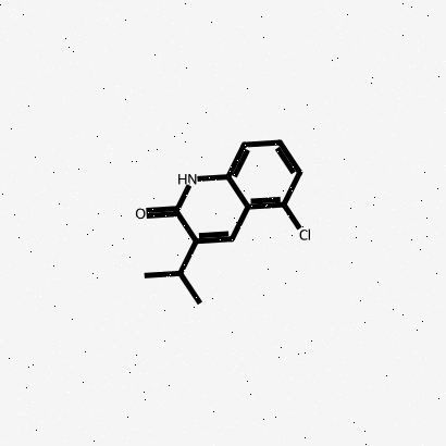 CC(C)c1cc2c(Cl)cccc2[nH]c1=O